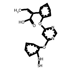 CC=C(C(=O)O)c1ccccc1Oc1cc(Oc2ccccc2NS)ncn1